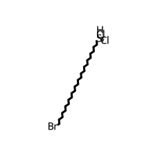 Cl[SiH](Cl)CCCCCCCCCCCCCCCCCCCCCCCCCCBr